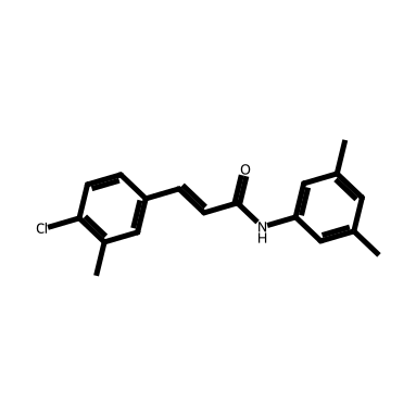 Cc1cc(C)cc(NC(=O)C=Cc2ccc(Cl)c(C)c2)c1